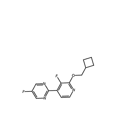 Fc1cnc(-c2ccnc(OCC3CCC3)c2F)nc1